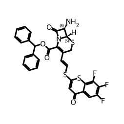 N[C@@H]1C(=O)N2C(C(=O)OC(c3ccccc3)c3ccccc3)=C(C=CSc3cc(=O)c4cc(F)c(F)c(F)c4s3)CS[C@@H]12